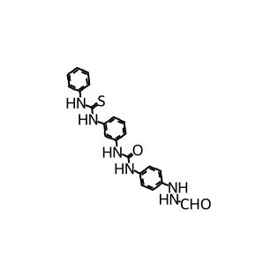 O=CNNc1ccc(NC(=O)Nc2cccc(NC(=S)Nc3ccccc3)c2)cc1